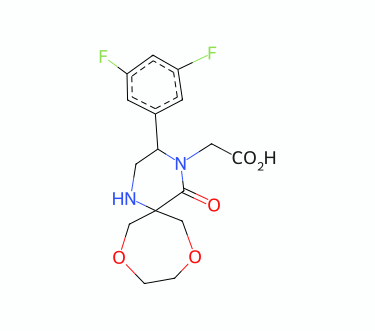 O=C(O)CN1C(=O)C2(COCCOC2)NCC1c1cc(F)cc(F)c1